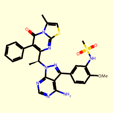 COc1ccc(-c2nn([C@@H](C)c3nc4scc(C)n4c(=O)c3-c3ccccc3)c3ncnc(N)c23)cc1NS(C)(=O)=O